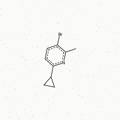 Cc1nc(C2CC2)ccc1Br